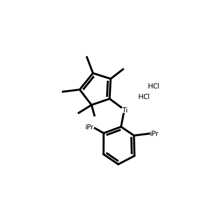 CC1=C(C)C(C)(C)[C]([Ti][c]2c(C(C)C)cccc2C(C)C)=C1C.Cl.Cl